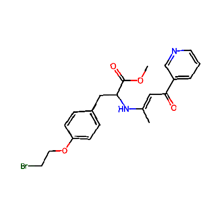 COC(=O)C(Cc1ccc(OCCBr)cc1)NC(C)=CC(=O)c1cccnc1